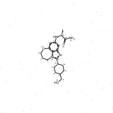 C[C@H](Nc1cc2c3c(c1)nc(N1CCC(CO)CC1)n3CCCO2)C(N)=O